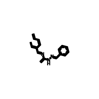 C=C\C=C/C(/C=N/C(=C)N/N=C/c1ccccc1)=C\C